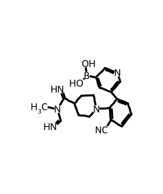 CN(C=N)C(=N)C1CCN(c2c(C#N)cccc2-c2cncc(B(O)O)c2)CC1